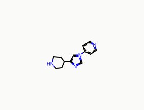 c1cc(-n2cnc(C3CCNCC3)c2)ccn1